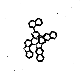 c1ccc2cc(-c3nc(-c4ccc5oc6ccccc6c5c4-n4c5ccccc5c5cc6ccccc6cc54)nc(-c4cccc5ccccc45)n3)ccc2c1